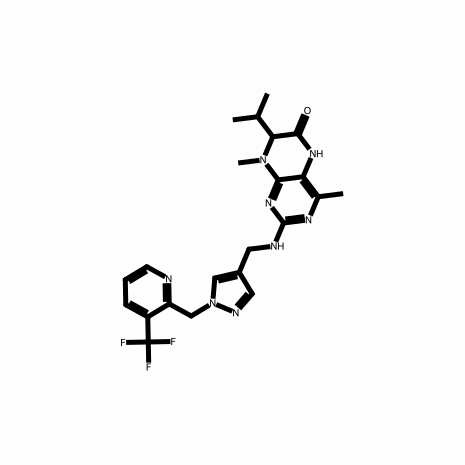 Cc1nc(NCc2cnn(Cc3ncccc3C(F)(F)F)c2)nc2c1NC(=O)C(C(C)C)N2C